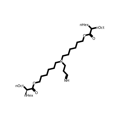 CCCCCCCCC(CCCCCC)C(=O)OCCCCCCN(CCC=N)CCCCCCOC(=O)[C@@H](CCCCCC)CCCCCCCC